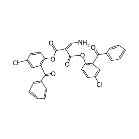 NC=C(C(=O)Oc1ccc(Cl)cc1C(=O)c1ccccc1)C(=O)Oc1ccc(Cl)cc1C(=O)c1ccccc1